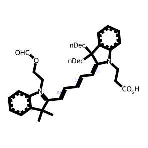 CCCCCCCCCCC1(CCCCCCCCCC)\C(=C/C=C/C=C/C2=[N+](CCOC=O)c3ccccc3C2(C)C)N(CCC(=O)O)c2ccccc21